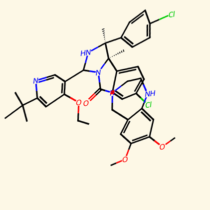 CCOc1cc(C(C)(C)C)ncc1C1N[C@@](C)(c2ccc(Cl)cc2)[C@@](C)(c2ccc(Cl)cc2)N1C(=O)N1CCNc2cc(OC)c(OC)cc2C1